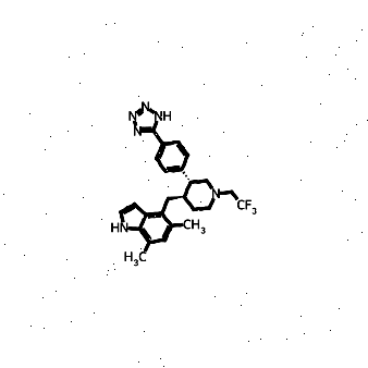 Cc1cc(C)c2[nH]ccc2c1C[C@@H]1CCN(CC(F)(F)F)C[C@H]1c1ccc(-c2nnn[nH]2)cc1